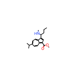 CCCC(NC)c1cc(C(=O)OC)c2ccc(C(C)C)ccc1-2